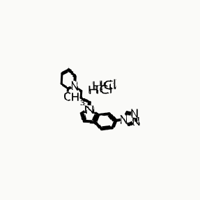 CC1CCCCN1CCCn1ccc2ccc(-n3cnnc3)cc21.Cl.Cl